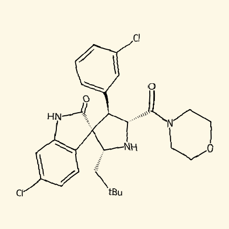 CC(C)(C)C[C@H]1N[C@@H](C(=O)N2CCOCC2)[C@H](c2cccc(Cl)c2)[C@@]12C(=O)Nc1cc(Cl)ccc12